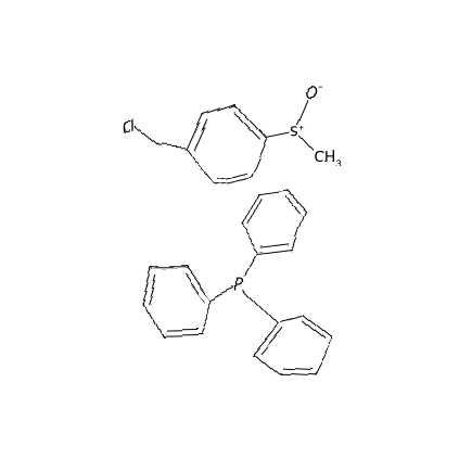 C[S+]([O-])c1ccc(CCl)cc1.c1ccc(P(c2ccccc2)c2ccccc2)cc1